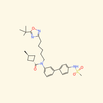 CC(C)(C)c1nc(CCCCCN(c2cccc(-c3ccc(NS(C)(=O)=O)cc3)c2)C(=O)[C@H]2C[C@H](C)C2)no1